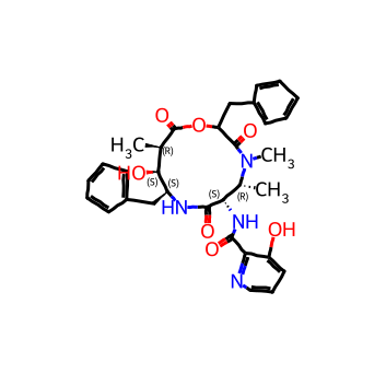 C[C@@H]1[C@H](NC(=O)c2ncccc2O)C(=O)N[C@@H](Cc2ccccc2)[C@@H](O)[C@@H](C)C(=O)OC(Cc2ccccc2)C(=O)N1C